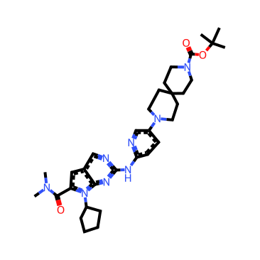 CN(C)C(=O)c1cc2cnc(Nc3ccc(N4CCC5(CCN(C(=O)OC(C)(C)C)CC5)CC4)cn3)nc2n1C1CCCC1